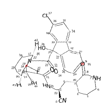 N#C[C@H](C[C@H]1CCCNC1=O)NC(=O)[C@H]1[C@H]2CC[C@H](CC2(F)F)N1C(=O)C1(O)c2ccccc2-c2ccc(Cl)cc21